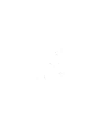 CCc1cc(F)ccc1C(C)(C)C(OC)c1ccc(NC(=O)OC(C)(C)C)cn1